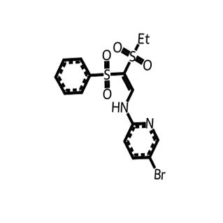 CCS(=O)(=O)C(=CNc1ccc(Br)cn1)S(=O)(=O)c1ccccc1